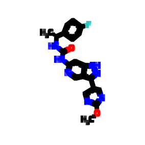 COc1ncc(-c2n[nH]c3cc(NC(=O)N[C@H](C)c4ccc(F)cc4)ncc23)cn1